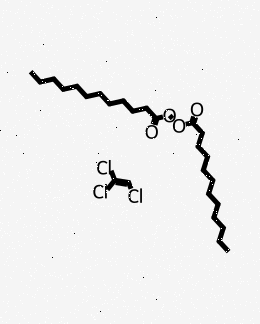 CCCCCCCCCCCC(=O)OOC(=O)CCCCCCCCCCC.ClC=C(Cl)Cl